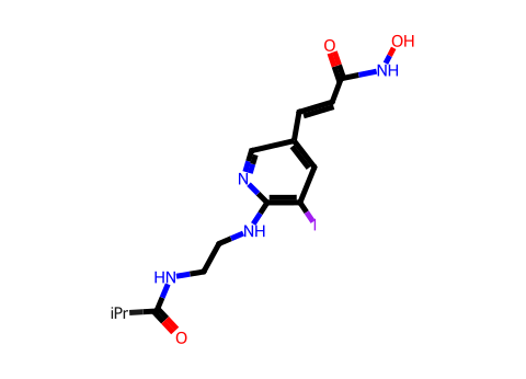 CC(C)C(=O)NCCNc1ncc(/C=C/C(=O)NO)cc1I